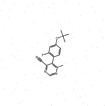 Cc1ncnc(C#N)c1-c1ccc(OC(C)(C)C)cc1F